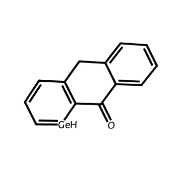 O=C1[C]2=C(C=C[CH]=[GeH]2)Cc2ccccc21